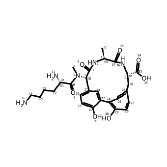 C[C@@H]1NC(=O)[C@@H](N(C)C(=O)[C@@H](N)CCCCN)c2ccc(O)c(c2)-c2cc(ccc2O)C[C@@H](C(=O)O)NC1=O